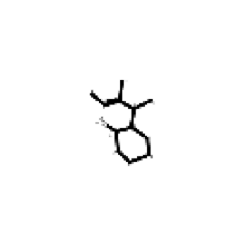 CC=C(C)C(C)C1CCCCC1O